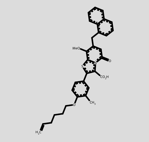 C=CCCCCOc1ccc(-c2sc3c(OC)c(Cc4cccc5ccccc45)cc(=O)n3c2C(=O)O)cc1C